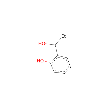 CC[C](O)c1ccccc1O